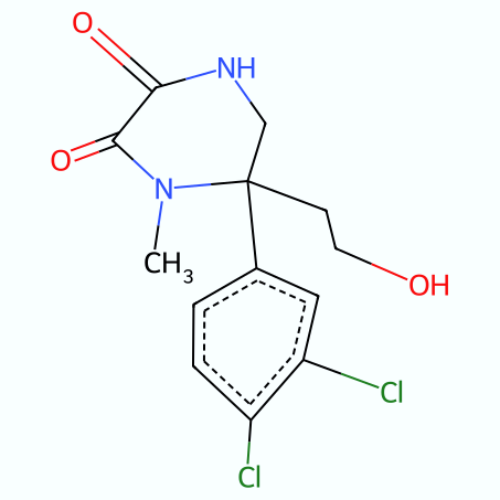 CN1C(=O)C(=O)NCC1(CCO)c1ccc(Cl)c(Cl)c1